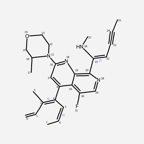 C=C/C(C)=C(\C=C/C)c1cc(N2CCOCC2C)nc2c(/C(=C/C#CC)NC)ncc(F)c12